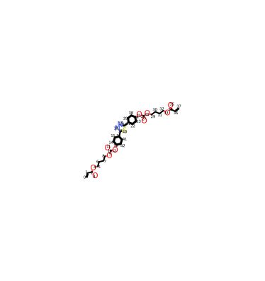 C=CC(=O)OCCCCOC(=O)Oc1ccc(-c2nnc(-c3ccc(OC(=O)OCCCCOC(=O)C=C)cc3)s2)cc1